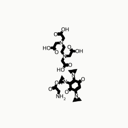 NCC(=O)O.O=C(O)CN(CCN(CC(=O)O)CC(=O)O)CC(=O)O.O=C1C=C(N2CC2)C(=O)C(N2CC2)=C1N1CC1